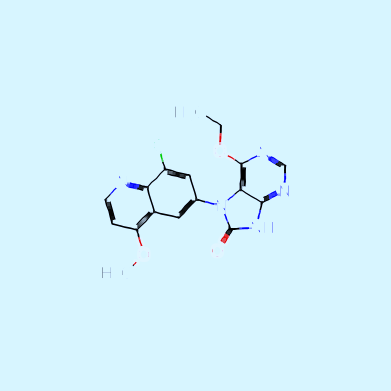 CCOc1ncnc2[nH]c(=O)n(-c3cc(Cl)c4nccc(OC)c4c3)c12